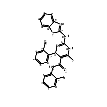 CC1=C(C(=O)Nc2ccccc2C)C(c2ccccc2Br)N=C(Nc2nc3ccccc3o2)N1